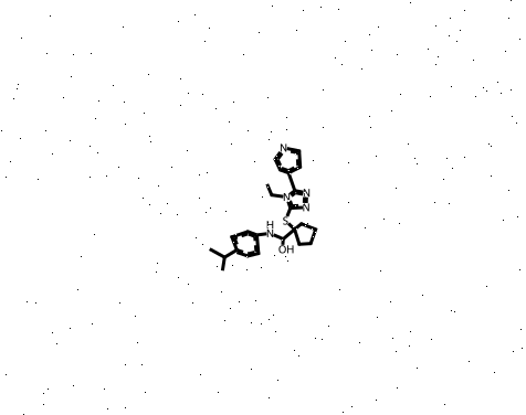 CCn1c(SC2(C(O)Nc3ccc(C(C)C)cc3)CCCC2)nnc1-c1ccncc1